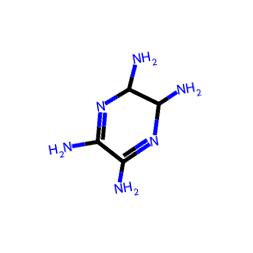 NC1=NC(N)C(N)N=C1N